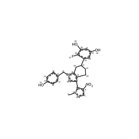 Cn1ncc([N+](=O)[O-])c1-c1nn(Cc2ccc(O)cc2)c2c1CCC(c1cc(O)cc(O)c1F)C2